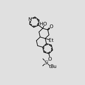 CCC12CC(=O)C(O)(c3ccncc3)CC1CCc1cc(O[Si](C)(C)C(C)(C)C)ccc12